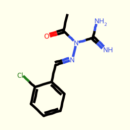 CC(=O)N(N=Cc1ccccc1Cl)C(=N)N